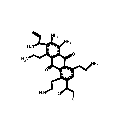 C=CC(N)c1c(N)c(N)c2c(c1CCN)C(=O)c1c(CCN)c(C(Cl)CCl)cc(CCN)c1C2=O